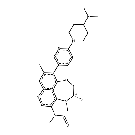 C[C@H]1COc2c(-c3ccc(N4CCC(N(C)C)CC4)nc3)c(F)cc3ncc(N(C)C=O)c(c23)N1C